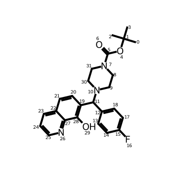 CC(C)(C)OC(=O)N1CCN(C(c2ccc(F)cc2)c2ccc3cccnc3c2O)CC1